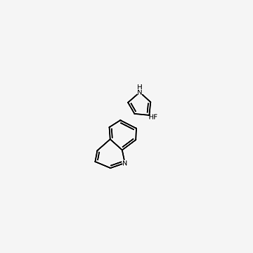 F.c1cc[nH]c1.c1ccc2ncccc2c1